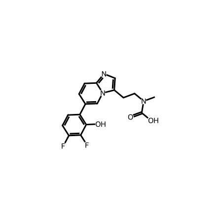 CN(CCc1cnc2ccc(-c3ccc(F)c(F)c3O)cn12)C(=O)O